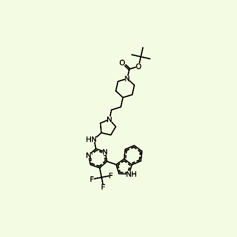 CC(C)(C)OC(=O)N1CCC(CCN2CCC(Nc3ncc(C(F)(F)F)c(-c4c[nH]c5ccccc45)n3)C2)CC1